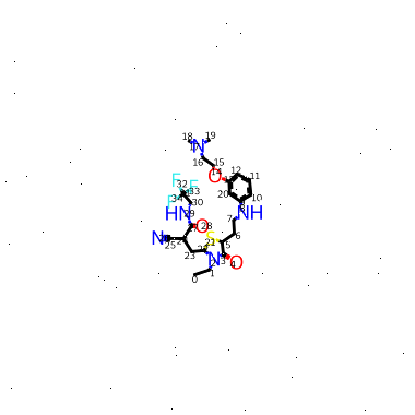 CCN1C(=O)C(CCNc2cccc(OCCN(C)C)c2)SC1CC(C#N)C(=O)NCC(F)(F)F